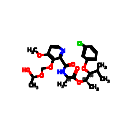 COc1ccnc(C(=O)N[C@@H](C)C(=O)O[C@@H](C)[C@@H](Oc2cccc(Cl)c2)C(C)C)c1OCOC(C)O